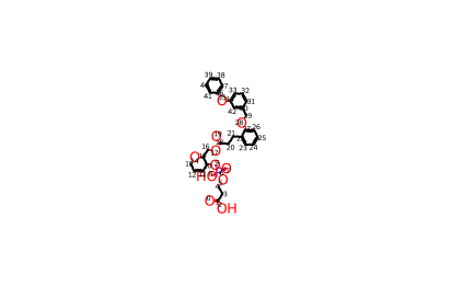 O=C(O)CCOP(=O)(O)O[C@H]1C=CCOC1COC(=O)CCc1ccccc1OCc1cccc(Oc2ccccc2)c1